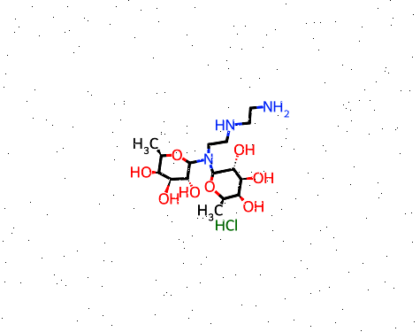 C[C@H]1OC(N(CCNCCN)C2O[C@H](C)[C@H](O)[C@H](O)[C@H]2O)[C@H](O)[C@@H](O)[C@H]1O.Cl